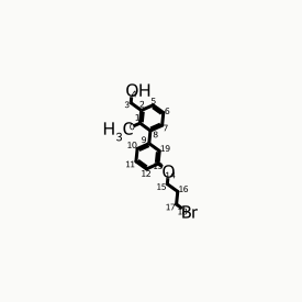 Cc1c(CO)cccc1-c1cccc(OCCCBr)c1